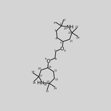 CC1(C)CCC(OCCOC2CCC(C)(C)NC(C)(C)C2)CC(C)(C)N1